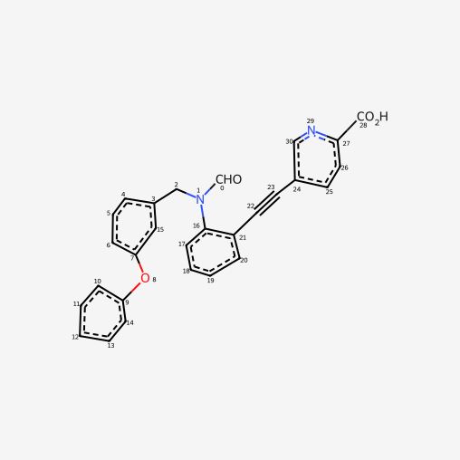 O=CN(Cc1cccc(Oc2ccccc2)c1)c1ccccc1C#Cc1ccc(C(=O)O)nc1